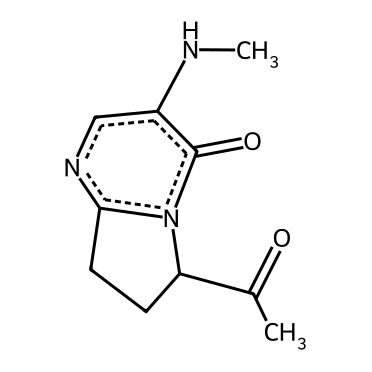 CNc1cnc2n(c1=O)C(C(C)=O)CC2